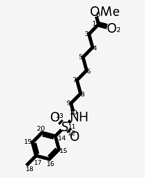 COC(=O)CCCCCCCNS(=O)(=O)c1ccc(C)cc1